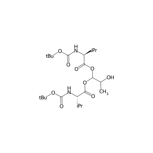 CC(O)C(OC(=O)[C@@H](NC(=O)OC(C)(C)C)C(C)C)OC(=O)[C@@H](NC(=O)OC(C)(C)C)C(C)C